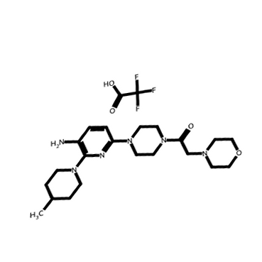 CC1CCN(c2nc(N3CCN(C(=O)CN4CCOCC4)CC3)ccc2N)CC1.O=C(O)C(F)(F)F